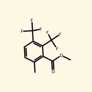 COC(=O)c1c(C)ccc(C(F)(F)F)c1C(F)(F)F